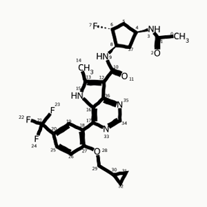 CC(=O)N[C@@H]1C[C@@H](F)[C@H](NC(=O)c2c(C)[nH]c3c(-c4cc(C(F)(F)F)ccc4OCC4CC4)ncnc23)C1